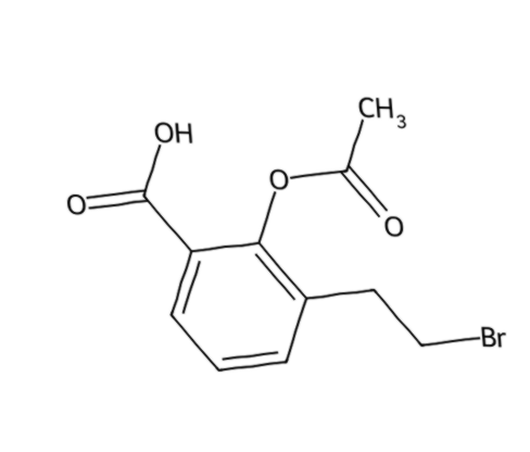 CC(=O)Oc1c(CCBr)cccc1C(=O)O